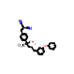 CC(C)(CCCc1cccc(Oc2ccccc2)c1)c1ccc(C=C(C#N)C#N)cc1